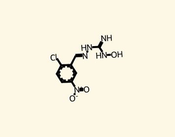 N=C(NO)N/N=C/c1cc([N+](=O)[O-])ccc1Cl